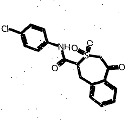 O=C1CS(=O)(=O)C(C(=O)Nc2ccc(Cl)cc2)Cc2ccccc21